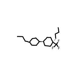 CCCC[C@]1(C(F)(F)F)CC[C@@H](C2CCC(CCC)CC2)CC1